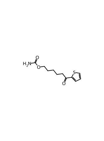 NC(=O)OCCCCCC(=O)c1cccs1